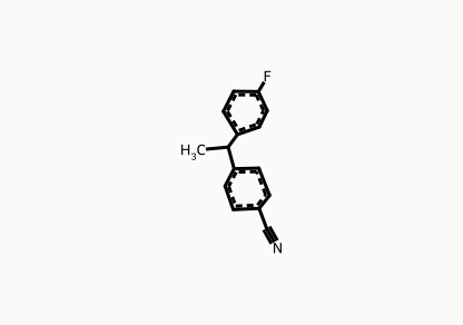 CC(c1ccc(F)cc1)c1ccc(C#N)cc1